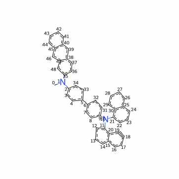 CN(c1ccc(-c2ccc(N(c3cccc4ccc#cc34)c3cccc4ccccc34)cc2)cc1)c1ccc2cc3ccccc3cc2c1